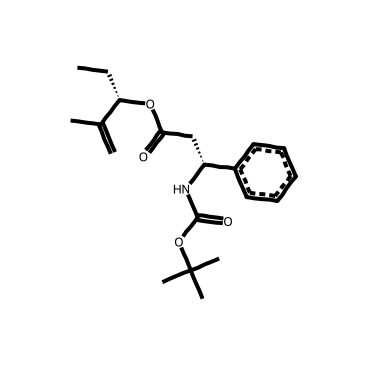 C=C(C)[C@H](CC)OC(=O)C[C@@H](NC(=O)OC(C)(C)C)c1ccccc1